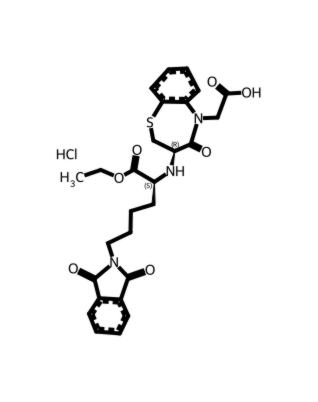 CCOC(=O)[C@H](CCCCN1C(=O)c2ccccc2C1=O)N[C@H]1CSc2ccccc2N(CC(=O)O)C1=O.Cl